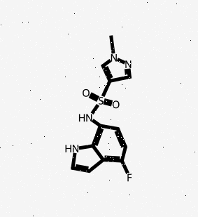 Cn1cc(S(=O)(=O)Nc2ccc(F)c3cc[nH]c23)cn1